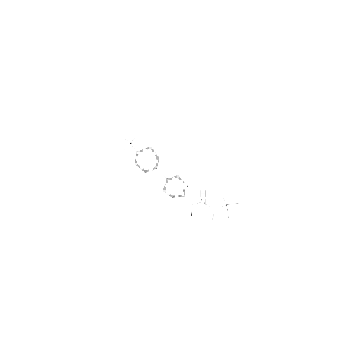 C[C@H](N[S+]([O-])C(C)(C)C)c1ccc(-c2ccc(C(F)(F)F)cc2)cn1